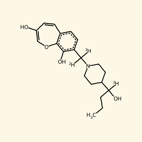 [2H]C(O)(CCC)C1CCN(C([2H])([2H])c2ccc3c(c2O)OC=C(O)C=C3)CC1